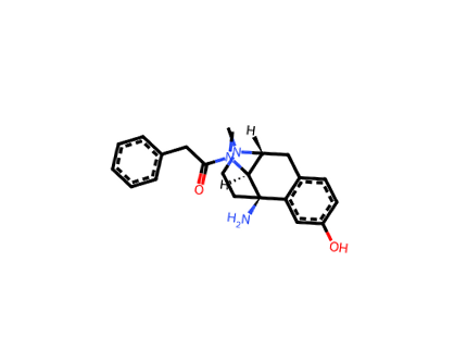 CN1CC[C@@]2(N)c3cc(O)ccc3C[C@@H]1[C@@H]2N(C)C(=O)Cc1ccccc1